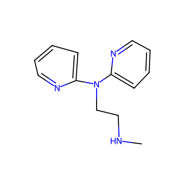 CNCCN(c1ccccn1)c1ccccn1